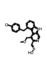 COCc1c(/C=N/O)ncc2[nH]c3cccc(Cc4ccc(Cl)cc4)c3c12